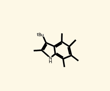 Cc1[nH]c2c(C)c(C)c(C)c(C)c2c1C(C)(C)C